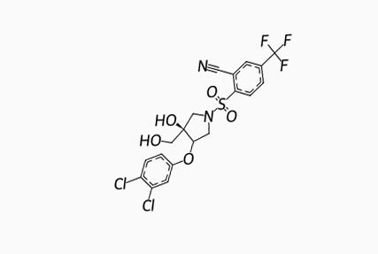 N#Cc1cc(C(F)(F)F)ccc1S(=O)(=O)N1CC(Oc2ccc(Cl)c(Cl)c2)[C@](O)(CO)C1